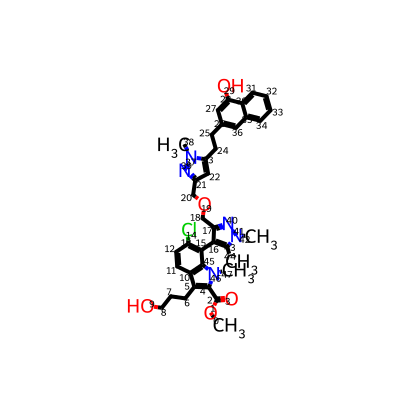 COC(=O)c1c(CCCO)c2ccc(Cl)c(-c3c(COCc4cc(CCc5cc(O)c6ccccc6c5)n(C)n4)nn(C)c3C)c2n1C